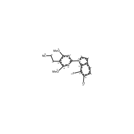 COc1nc(-n2ccc3ccc(Cl)c(F)c32)nc(OC)c1CCC#N